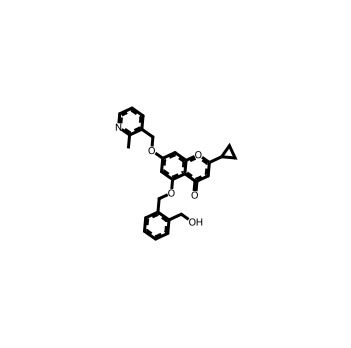 Cc1ncccc1COc1cc(OCc2ccccc2CO)c2c(=O)cc(C3CC3)oc2c1